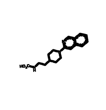 O=C(O)NCCC1CCN(c2cc3ccccc3cn2)CC1